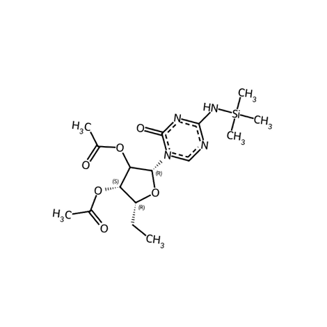 CC[C@H]1O[C@@H](n2cnc(N[Si](C)(C)C)nc2=O)C(OC(C)=O)[C@H]1OC(C)=O